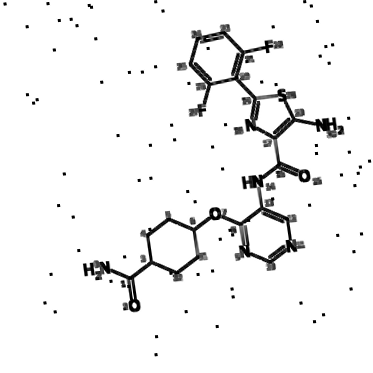 NC(=O)C1CCC(Oc2ncncc2NC(=O)c2nc(-c3c(F)cccc3F)sc2N)CC1